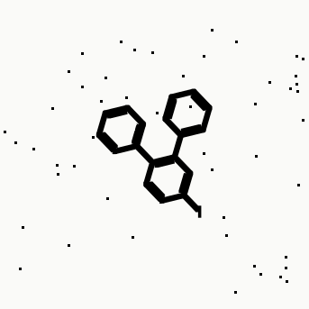 Ic1ccc(-c2ccccc2)c(-c2ccccc2)c1